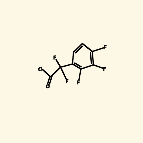 O=C(Cl)C(F)(F)c1ccc(F)c(F)c1F